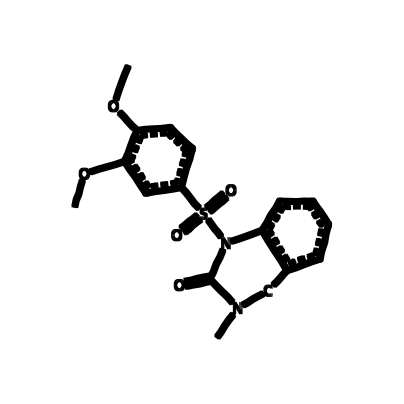 COc1ccc(S(=O)(=O)N2C(=O)N(C)Cc3ccccc32)cc1OC